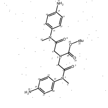 CN(C(=O)CN(CC(=O)N(C)c1ccc(N)cc1)C(=O)OC(C)(C)C)c1ccc(N)cc1